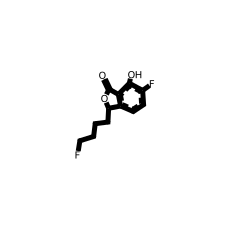 O=C1OC(CCCCF)c2ccc(F)c(O)c21